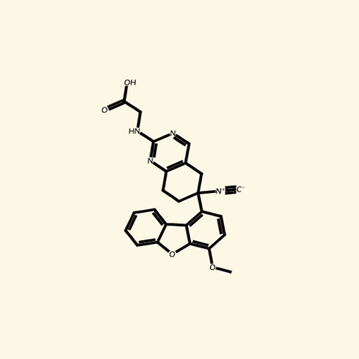 [C-]#[N+]C1(c2ccc(OC)c3oc4ccccc4c23)CCc2nc(NCC(=O)O)ncc2C1